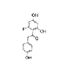 O=C(Cc1ccc(O)cc1)c1c(O)cc(O)cc1F